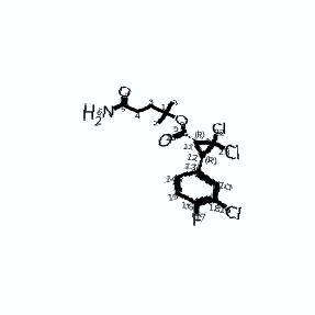 CC(C)(CCC(N)=O)OC(=O)[C@H]1[C@H](c2ccc(F)c(Cl)c2)C1(Cl)Cl